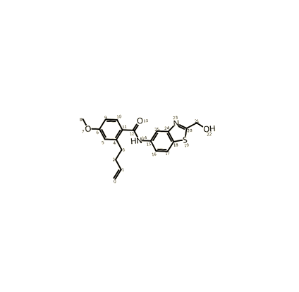 C=CCCc1cc(OC)ccc1C(=O)Nc1ccc2sc(CO)nc2c1